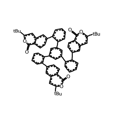 CC(C)(C)c1cc2cc(-c3ccccc3-c3cc(-c4ccccc4-c4ccc5c(=O)oc(C(C)(C)C)cc5c4)cc(-c4ccccc4-c4ccc5c(=O)oc(C(C)(C)C)cc5c4)c3)ccc2c(=O)o1